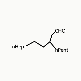 CCCCCCCCCC(CC=O)CCCCC